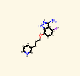 Nc1n[nH]c2c(OCCCc3cccnc3)ccc(I)c12